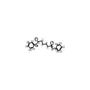 O=C(CCCCC(=O)Sc1ccccc1)Sc1ccccc1